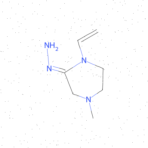 C=CN1CCN(C)C/C1=N/N